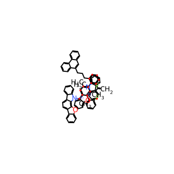 C=C(C/C(C(=C)c1c(F)cccc1CCCc1cc2ccccc2c2ccccc12)=C(/C(CC(C)n1c2ccccc2c2ccccc21)=C(\C)n1c2ccccc2c2ccc3c4ccccc4oc3c21)c1ccccc1F)c1ccccc1-c1ccc2c(oc3ccccc32)c1C